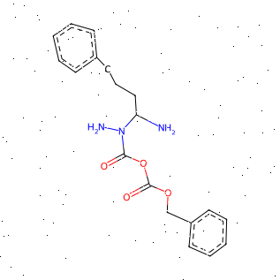 NC(CCCc1ccccc1)N(N)C(=O)OC(=O)OCc1ccccc1